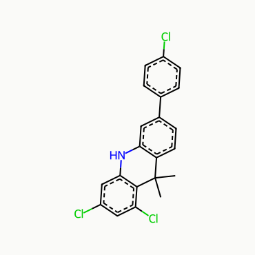 CC1(C)c2ccc(-c3ccc(Cl)cc3)cc2Nc2cc(Cl)cc(Cl)c21